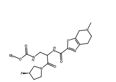 CN1CCc2nc(C(=O)NC(CNC(=O)OC(C)(C)C)C(=O)N3CC[C@@H](F)C3)sc2C1